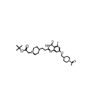 CC(=O)N1CCC(COc2cc(F)c3c(=O)[nH]c(CCC4CCN(CC(=O)OC(C)(C)C)CC4)nc3c2)CC1